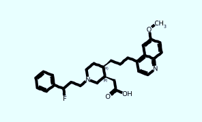 COc1ccc2nccc(CCC[C@@H]3CCN(CCC(F)c4ccccc4)C[C@@H]3CC(=O)O)c2c1